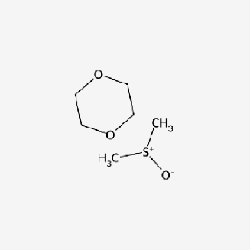 C1COCCO1.C[S+](C)[O-]